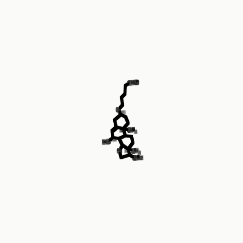 CC(=O)OC1COC2C3C(CC[C@]12C)[C@@]1(C)CC[C@H](OCCCCC=O)CC1=C[C@@H]3O